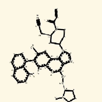 C=CC(=O)N1CCC(n2cnc3c(OC[C@@H]4CCCN4C)nc4c(F)c(-c5cccc6cccc(Cl)c56)c(Cl)cc4c32)C[C@H]1CC#N